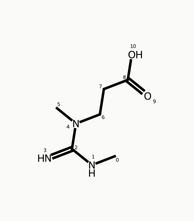 CNC(=N)N(C)CCC(=O)O